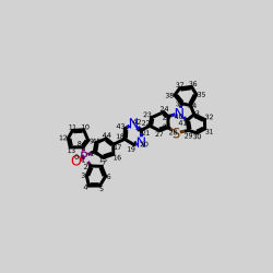 O=P(c1ccccc1)(c1ccccc1)c1ccc(-c2cnc(-c3ccc4c(c3)Sc3cccc5c6ccccc6n-4c35)nc2)cc1